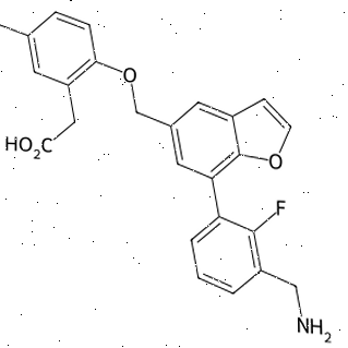 NCc1cccc(-c2cc(COc3ccc(F)cc3CC(=O)O)cc3ccoc23)c1F